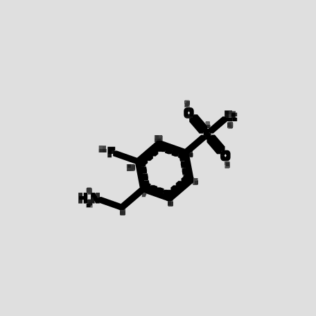 CCS(=O)(=O)c1ccc(CN)c(F)c1